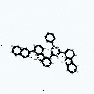 C1=C(c2nc(-c3ccccc3)nc(-c3cccc4oc5c(-c6ccc7ccccc7c6)cccc5c34)n2)c2sc3ccccc3c2CC1